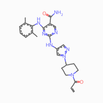 C=CC(=O)N1CCC(n2cc(Nc3ncc(C(N)=O)c(Nc4c(C)cccc4C)n3)cn2)CC1